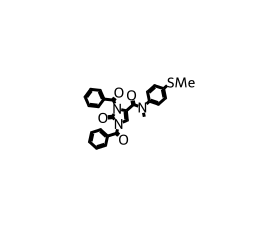 CSc1ccc(N(C)C(=O)c2cn(C(=O)c3ccccc3)c(=O)n2C(=O)c2ccccc2)cc1